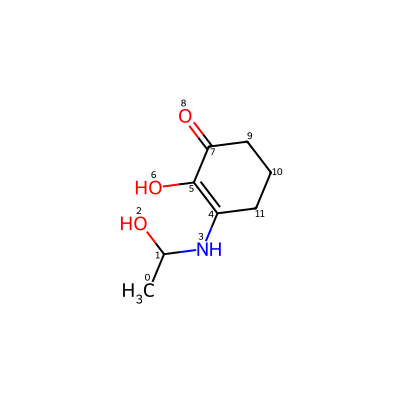 CC(O)NC1=C(O)C(=O)CCC1